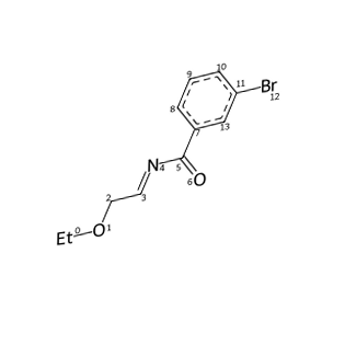 CCOCC=NC(=O)c1cccc(Br)c1